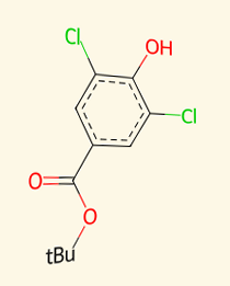 CC(C)(C)OC(=O)c1cc(Cl)c(O)c(Cl)c1